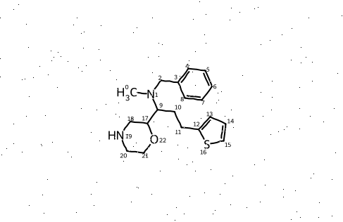 CN(Cc1ccccc1)C(CCc1cccs1)C1CNCCO1